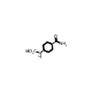 NC(=O)[C@H]1CC[C@@H](NC(=O)O)CC1